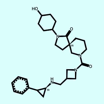 O=C(N1CC(CN[C@H]2CC2c2ccccc2)C1)N1CCC[C@]2(CCN(C3CCC(O)CC3)C2=O)C1